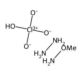 CON.NN.[O-][Cl+3]([O-])([O-])O